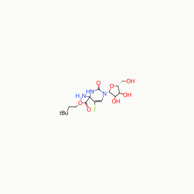 CC(C)(C)CCOC(=O)C1(N)NC(=O)N([C@@H]2O[C@H](CO)[C@@H](O)[C@H]2O)C=C1F